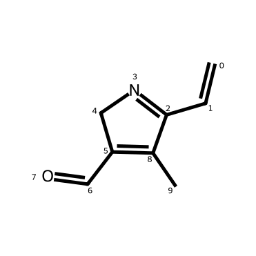 C=CC1=NCC(C=O)=C1C